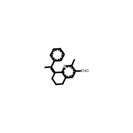 CC(=C1CCCc2cc(C=O)c(C)nc21)c1ccccc1